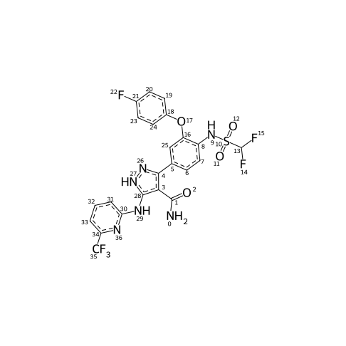 NC(=O)c1c(-c2ccc(NS(=O)(=O)C(F)F)c(Oc3ccc(F)cc3)c2)n[nH]c1Nc1cccc(C(F)(F)F)n1